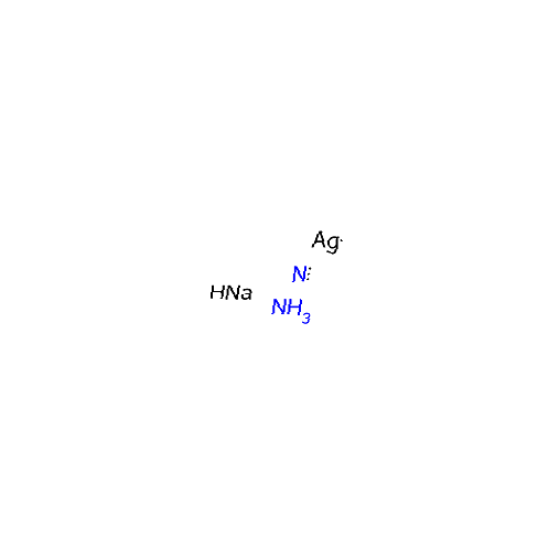 N.[Ag].[N].[NaH]